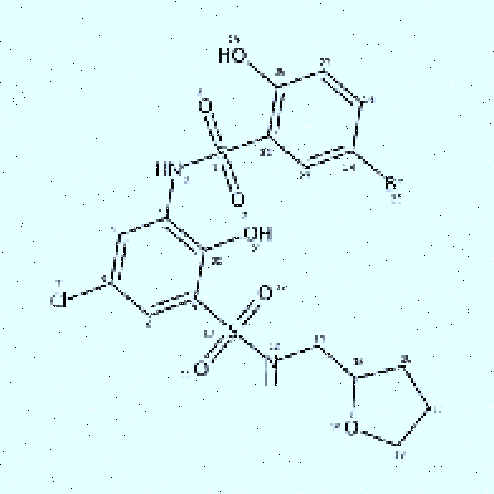 O=S(=O)(Nc1cc(Cl)cc(S(=O)(=O)NCC2CCCO2)c1O)c1cc(Br)ccc1O